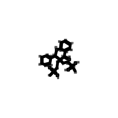 CS(=O)(=O)CCC1(CCS(C)(=O)=O)C(=O)c2ccccc2OC1c1ccccc1